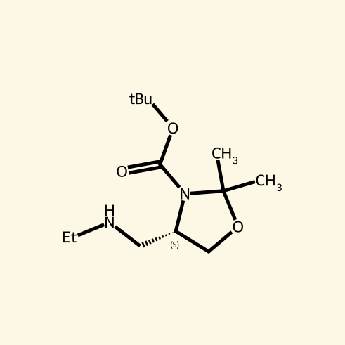 CCNC[C@H]1COC(C)(C)N1C(=O)OC(C)(C)C